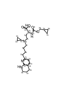 O=C(N[C@@H](CCN(CCCCc1ccc2c(n1)NCCC2)C1CC1)C(=O)O)OCC1CC1